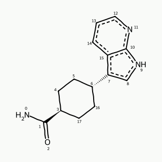 NC(=O)[C@H]1CC[C@H](c2c[nH]c3ncccc32)CC1